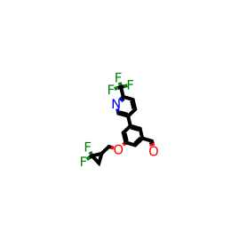 O=Cc1cc(OCC2CC2(F)F)cc(-c2ccc(C(F)(F)F)nc2)c1